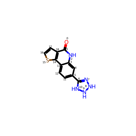 O=c1[nH]c2cc(C3=NNNN3)ccc2c2sccc12